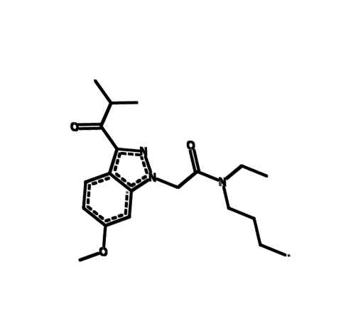 [CH2]CCCN(CC)C(=O)Cn1nc(C(=O)C(C)C)c2ccc(OC)cc21